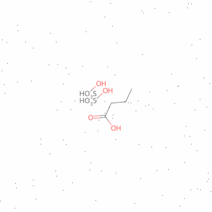 CCCC(=O)O.O=S(=O)(O)O.O=S(=O)(O)O